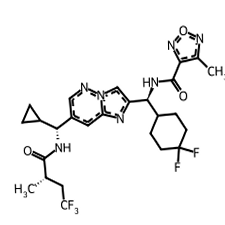 Cc1nonc1C(=O)N[C@H](c1cn2ncc([C@H](NC(=O)[C@@H](C)CC(F)(F)F)C3CC3)cc2n1)C1CCC(F)(F)CC1